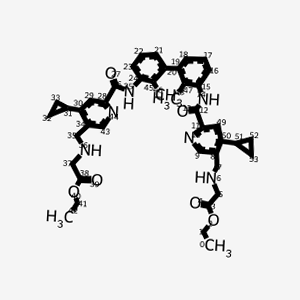 CCOC(=O)CNCc1cnc(C(=O)Nc2cccc(-c3cccc(NC(=O)c4cc(C5CC5)c(CNCC(=O)OCC)cn4)c3C)c2C)cc1C1CC1